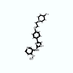 CCOc1ccncc1Nc1nc(-c2ccc(OCCN3CCC(F)CC3)cc2)cs1